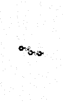 O=C(OCc1ccccc1)N1CCCC(COc2ccc(I)cn2)C1